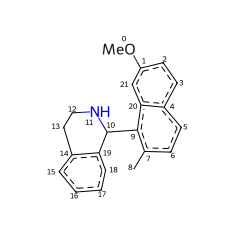 COc1ccc2ccc(C)c(C3NCCc4ccccc43)c2c1